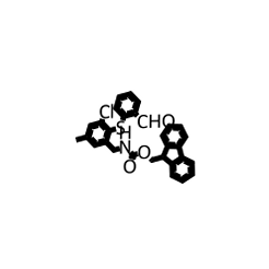 Cc1cc(Cl)c(Sc2ccccc2C=O)c(CNC(=O)OCC2c3ccccc3-c3ccccc32)c1